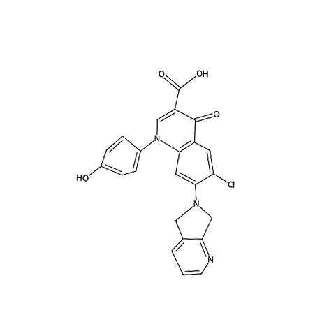 O=C(O)c1cn(-c2ccc(O)cc2)c2cc(N3Cc4cccnc4C3)c(Cl)cc2c1=O